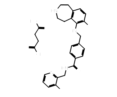 O=C(NCc1ncccc1F)c1ccc(CNc2c(Cl)ccc3c2CCNCC3)cc1.O=C(O)CCC(=O)O